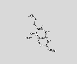 COc1ccc2c(=O)c(CCN)noc2c1.Cl